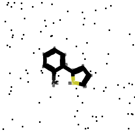 CC(=O)c1ccccc1-c1cccs1